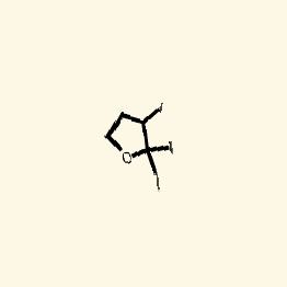 IC1CCOC1(I)I